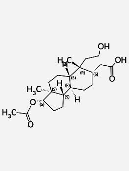 CC(=O)O[C@H]1CC[C@H]2[C@@H]3CC[C@@H](CC(=O)O)[C@@](C)(CCO)[C@H]3CC[C@]12C